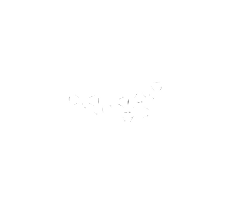 CCc1ccccc1N(C)c1cccc2c(/C=C/c3ccc4c(c3)C3(c5cc(N6CCCc7ccccc76)ccc5-4)c4ccccc4C4C=CC=CC43)cccc12